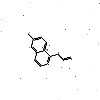 C=CCc1nccc2cc(C)ccc12